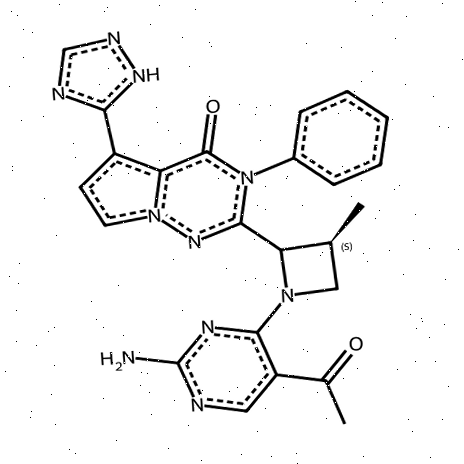 CC(=O)c1cnc(N)nc1N1C[C@H](C)C1c1nn2ccc(-c3ncn[nH]3)c2c(=O)n1-c1ccccc1